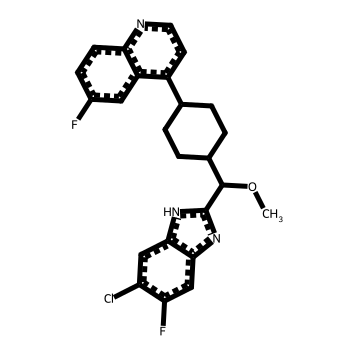 COC(c1nc2cc(F)c(Cl)cc2[nH]1)C1CCC(c2ccnc3ccc(F)cc23)CC1